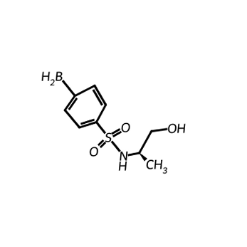 Bc1ccc(S(=O)(=O)N[C@H](C)CO)cc1